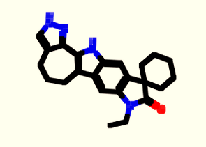 CCN1C(=O)C2(CCCCC2)c2cc3[nH]c4c(c3cc21)CCCc1c[nH]nc1-4